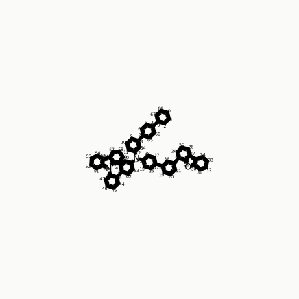 c1ccc(-c2ccc(-c3cccc(N(c4ccc(-c5cccc(-c6cccc7c6oc6ccccc67)c5)cc4)c4ccc(-c5ccccc5-n5c6ccccc6c6ccccc65)cc4)c3)cc2)cc1